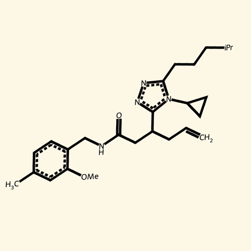 C=CCC(CC(=O)NCc1ccc(C)cc1OC)c1nnc(CCCC(C)C)n1C1CC1